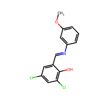 COc1cccc(N=Cc2cc(Cl)cc(Cl)c2O)c1